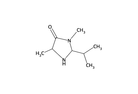 CC1NC(C(C)C)N(C)C1=O